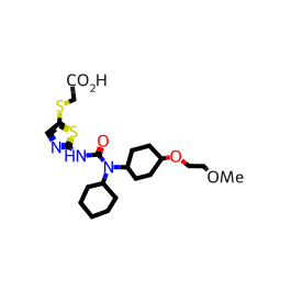 COCCOC1CCC(N(C(=O)Nc2ncc(SCC(=O)O)s2)C2CCCCC2)CC1